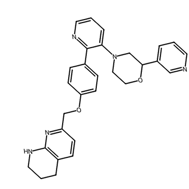 c1cncc(C2CN(c3cccnc3-c3ccc(OCc4ccc5c(n4)NCCC5)cc3)CCO2)c1